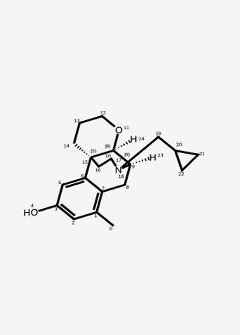 Cc1cc(O)cc2c1C[C@@H]1[C@@H]3OCCC[C@]23CCN1CC1CC1